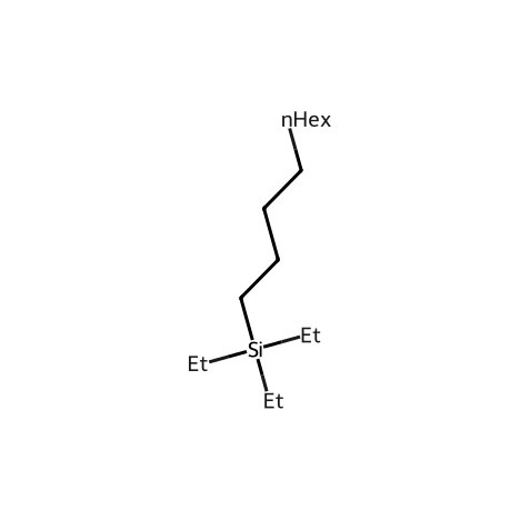 [CH2]CCCCCCCCC[Si](CC)(CC)CC